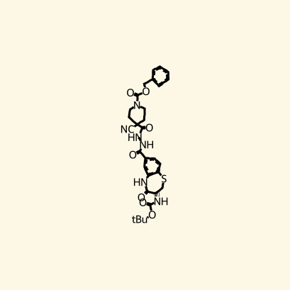 CC(C)(C)OC(=O)N[C@H]1CSc2ccc(C(=O)NNC(=O)C3(C#N)CCN(C(=O)OCc4ccccc4)CC3)cc2NC1=O